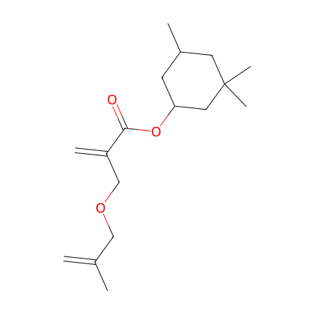 C=C(C)COCC(=C)C(=O)OC1CC(C)CC(C)(C)C1